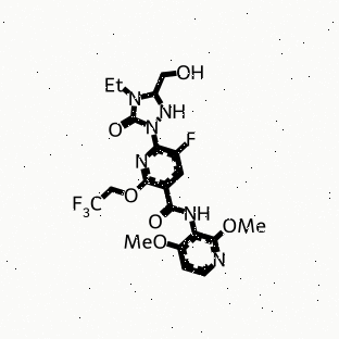 CCN1C(=O)N(c2nc(OCC(F)(F)F)c(C(=O)Nc3c(OC)ccnc3OC)cc2F)NC1CO